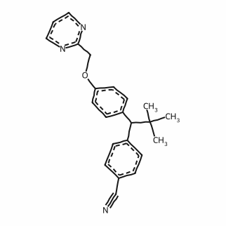 CC(C)(C)C(c1ccc(C#N)cc1)c1ccc(OCc2ncccn2)cc1